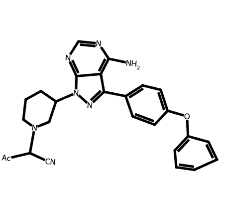 CC(=O)C(C#N)N1CCCC(n2nc(-c3ccc(Oc4ccccc4)cc3)c3c(N)ncnc32)C1